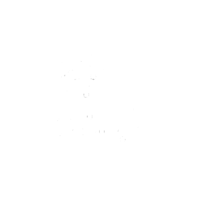 CC1COC(COC2OC(COC3OC(C)(C)C(C)(C)C(C)C3(C)C)C(C)(C)C(C)C2(C)C)C(C)C1C